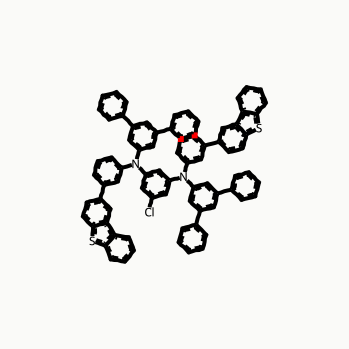 Clc1cc(N(c2cccc(-c3ccc4sc5ccccc5c4c3)c2)c2cc(-c3ccccc3)cc(-c3ccccc3)c2)cc(N(c2cccc(-c3ccc4sc5ccccc5c4c3)c2)c2cc(-c3ccccc3)cc(-c3ccccc3)c2)c1